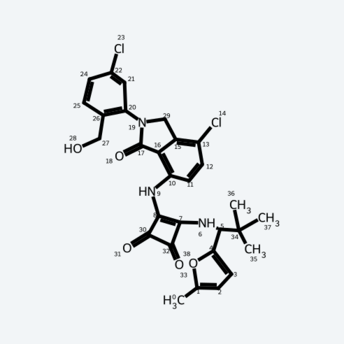 Cc1ccc([C@H](Nc2c(Nc3ccc(Cl)c4c3C(=O)N(c3cc(Cl)ccc3CO)C4)c(=O)c2=O)C(C)(C)C)o1